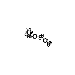 CC(=O)N1CCC[C@H]1C(=O)Nc1ccc(-c2cnc(-c3ccc([N+](=O)[O-])cc3)o2)cc1